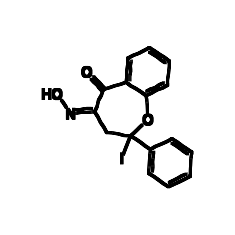 O=C1C(=NO)CC(I)(c2ccccc2)Oc2ccccc21